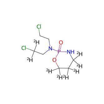 [2H]C([2H])(Cl)CN(CCCl)P1(=O)NC([2H])([2H])C([2H])([2H])C([2H])([2H])O1